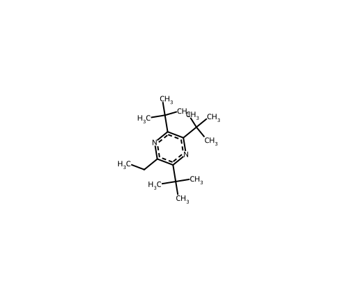 CCc1nc(C(C)(C)C)c(C(C)(C)C)nc1C(C)(C)C